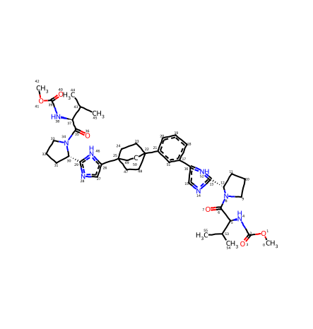 COC(=O)N[C@H](C(=O)N1CCC[C@H]1c1ncc(-c2cccc(C34CCC(c5cnc([C@@H]6CCCN6C(=O)[C@@H](NC(=O)OC)C(C)C)[nH]5)(CC3)CC4)c2)[nH]1)C(C)C